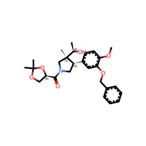 COc1ccc([C@@H]2CN(C(=O)[C@H]3COC(C)(C)O3)C[C@@]2(C)[C@@H](C)O)cc1OCc1ccccc1